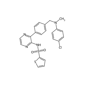 CN(Cc1ccc(-c2nccnc2NS(=O)(=O)c2cccs2)cc1)c1ccc(Cl)cc1